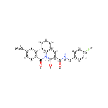 CSc1ccc(C(=O)n2c(=O)c(C(=O)NCc3ccc(F)cc3)cc3ccccc32)cc1